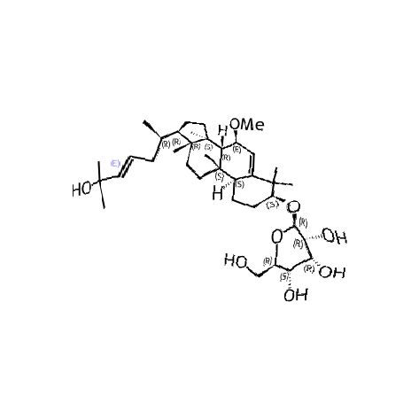 CO[C@H]1C=C2[C@@H](CC[C@H](O[C@@H]3O[C@H](CO)[C@@H](O)[C@@H](O)[C@H]3O)C2(C)C)[C@]2(C)CC[C@]3(C)[C@@H]([C@H](C)C/C=C/C(C)(C)O)CC[C@@]3(C)[C@H]12